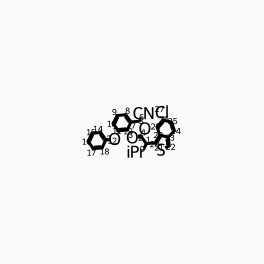 CC(C)C(C(=O)OC(C#N)c1cccc(Oc2ccccc2)c1)c1scc2ccc(Cl)cc12